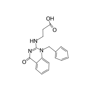 O=C(O)CCNc1nc(=O)c2ccccc2n1Cc1ccccc1